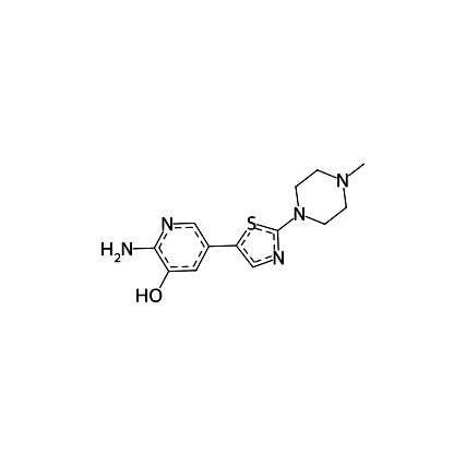 CN1CCN(c2ncc(-c3cnc(N)c(O)c3)s2)CC1